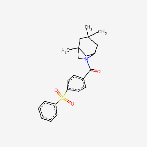 CC1(C)CC2CC(C)(CN2C(=O)c2ccc(S(=O)(=O)c3ccccc3)cc2)C1